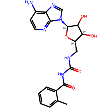 Cc1ccccc1C(=O)NC(=O)NC[C@H]1O[C@@H](n2cnc3c(N)ccnc32)C(O)[C@H]1O